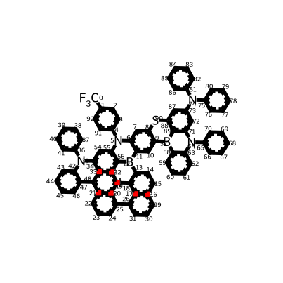 FC(F)(F)c1ccc(N2c3cc4c(cc3B3c5ccccc5N(c5ccccc5-c5ccccc5)c5cc(N(c6ccccc6)c6ccccc6-c6ccccc6)cc2c53)B2c3ccccc3N(c3ccccc3)c3cc(N(c5ccccc5)c5ccccc5)cc(c32)S4)cc1